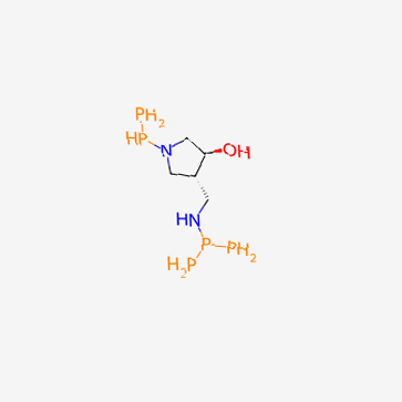 O[C@@H]1CN(PP)C[C@H]1CNP(P)P